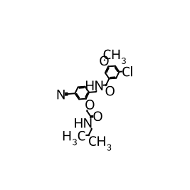 COc1cc(Cl)cc(C(=O)NCc2ccc(C#N)cc2OCC(=O)NCC(C)C)c1